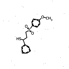 COc1ccc(S(=O)(=O)CCC(S)c2ccccc2)cc1